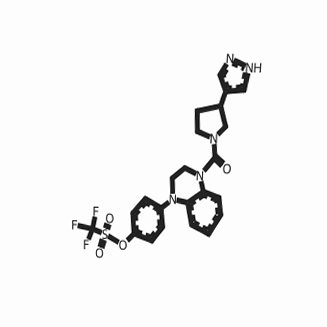 O=C(N1CCC(c2cn[nH]c2)C1)N1CCN(c2ccc(OS(=O)(=O)C(F)(F)F)cc2)c2ccccc21